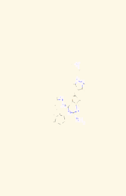 CN(C)CCn1cc(-c2cc3nc(N)nc(N4N=CCC4c4ccccc4)c3s2)cn1